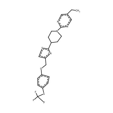 CCc1cnc(N2CCC(c3nc(COc4ccc(SC(F)(F)F)cc4)cs3)CC2)nc1